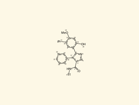 CCNC(=O)c1nnc(-c2cc(C(C)C)c(OC)cc2O)n1-c1cccnc1